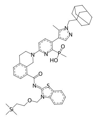 Cc1c(-c2ccc(N3CCc4cccc(C(=O)/N=c5\sc6ccccc6n5COCC[Si](C)(C)C)c4C3)nc2P(C)(=O)O)cnn1CC12CC3CC(CC(C3)C1)C2